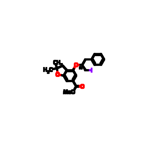 COC(=O)c1cc(O[C@H](CI)Cc2ccccc2)c2c(c1)OC(C)(C)C2